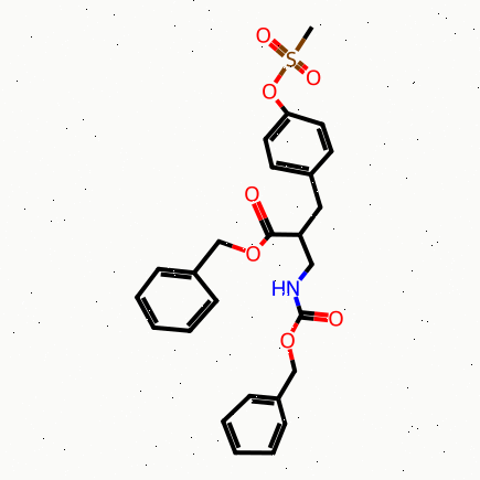 CS(=O)(=O)Oc1ccc(CC(CNC(=O)OCc2ccccc2)C(=O)OCc2ccccc2)cc1